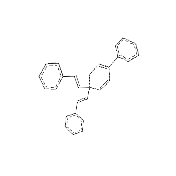 C1=CC(C=Cc2ccccc2)(C=Cc2ccccc2)CC=C1c1ccccc1